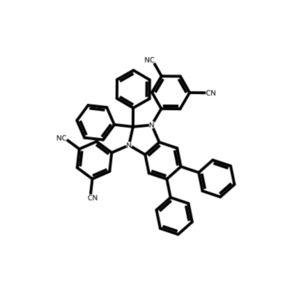 N#Cc1cc(C#N)cc(N2c3cc(-c4ccccc4)c(-c4ccccc4)cc3N(c3cc(C#N)cc(C#N)c3)C2(c2ccccc2)c2ccccc2)c1